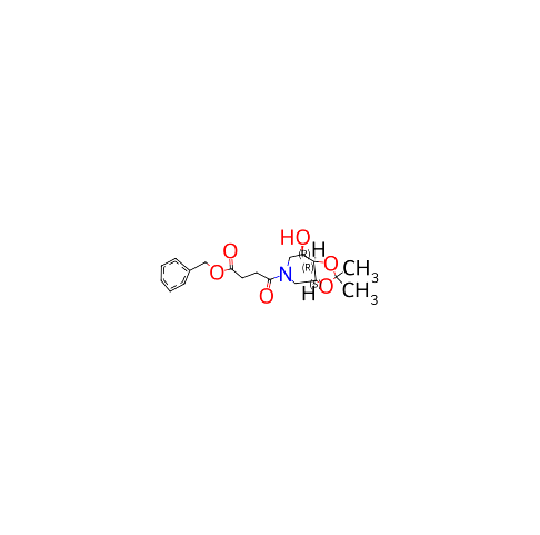 CC1(C)O[C@@H]2[C@H](O)CN(C(=O)CCC(=O)OCc3ccccc3)C[C@@H]2O1